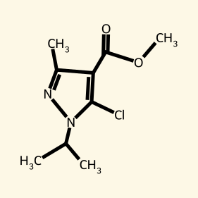 COC(=O)c1c(C)nn(C(C)C)c1Cl